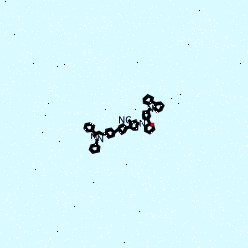 N#Cc1cc(-n2c3ccccc3c3cc(-n4c5ccccc5c5ccccc54)ccc32)ccc1-c1ccc(-c2ccc(-c3cc(-c4ccccc4)nc(-c4ccccc4)n3)cc2)cc1